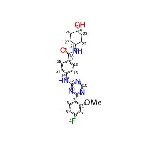 COc1cc(F)ccc1-c1ncnc(Nc2ccc(C(=O)NC3CCC(O)CC3)cc2)n1